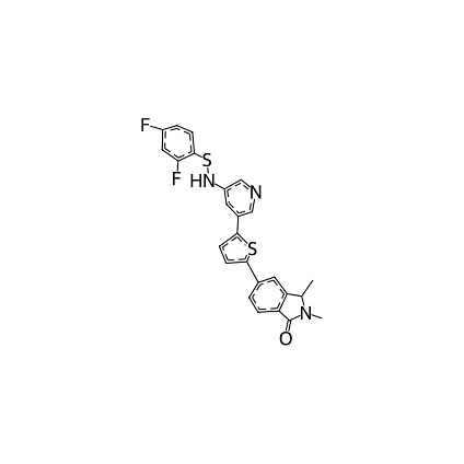 CC1c2cc(-c3ccc(-c4cncc(NSc5ccc(F)cc5F)c4)s3)ccc2C(=O)N1C